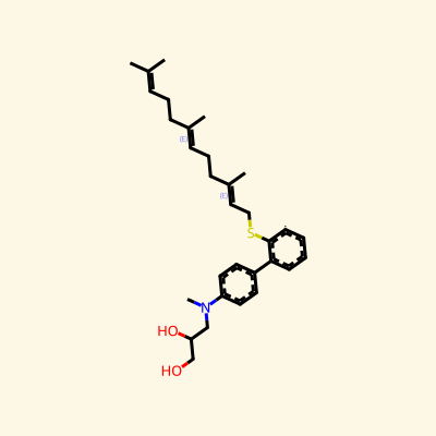 CC(C)=CCC/C(C)=C/CC/C(C)=C/CSc1[c]cccc1-c1ccc(N(C)CC(O)CO)cc1